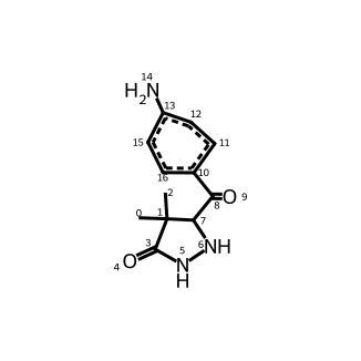 CC1(C)C(=O)NNC1C(=O)c1ccc(N)cc1